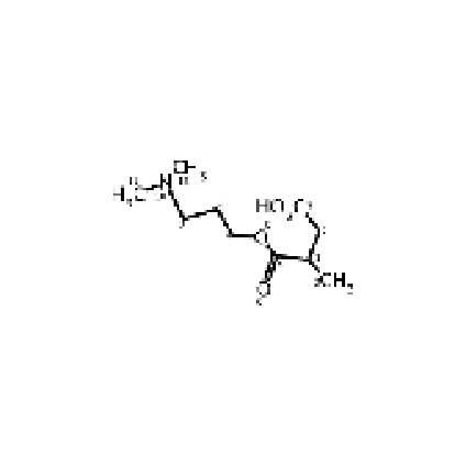 CC(CC(=O)O)C(=O)OCCCN(C)C